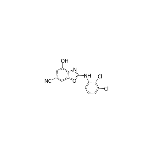 N#Cc1cc(O)c2nc(Nc3cccc(Cl)c3Cl)oc2c1